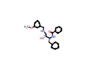 COc1cccc(CNC[C@@H](O)[C@H](Cc2ccccc2)NC(=O)c2ccccc2)c1